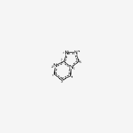 [c]1cnc2nncn2c1